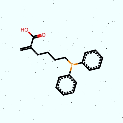 C=C(CCCCP(c1ccccc1)c1ccccc1)C(=O)O